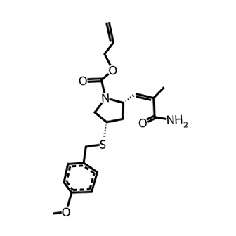 C=CCOC(=O)N1C[C@@H](SCc2ccc(OC)cc2)C[C@H]1C=C(C)C(N)=O